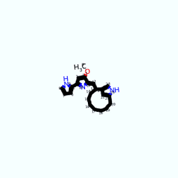 COC1=CC(c2ccc[nH]2)=NC1=CC1CCCCCCCc2cc1c[nH]2